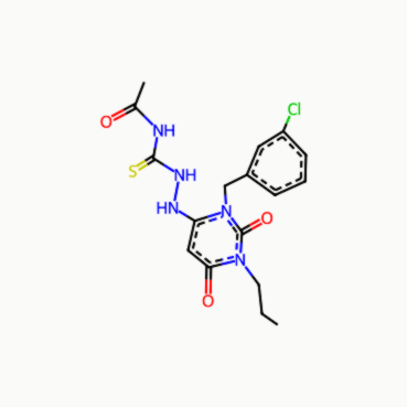 CCCn1c(=O)cc(NNC(=S)NC(C)=O)n(Cc2cccc(Cl)c2)c1=O